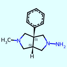 CN1C[C@H]2CN(N)C[C@@]2(c2ccccc2)C1